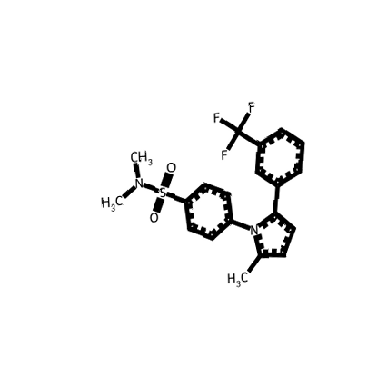 Cc1ccc(-c2cccc(C(F)(F)F)c2)n1-c1ccc(S(=O)(=O)N(C)C)cc1